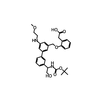 COCCNc1cc(COc2ccccc2CC(=O)O)cc(-c2cccc(C(CO)NC(=O)OC(C)(C)C)c2)c1